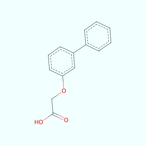 O=C(O)COc1cccc(-c2ccccc2)c1